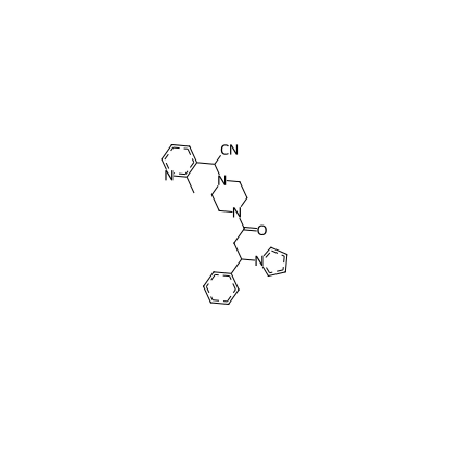 Cc1ncccc1C(C#N)N1CCN(C(=O)CC(c2ccccc2)n2cccc2)CC1